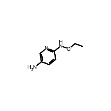 CCONc1ccc(N)cn1